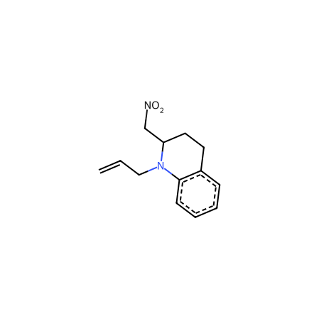 C=CCN1c2ccccc2CCC1C[N+](=O)[O-]